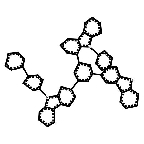 c1ccc(-c2ccc(-n3c4ccccc4c4ccc(-c5cc(-c6ccc7sc8ccccc8c7c6)cc(-c6cccc7c8ccccc8n(-c8ccccc8)c67)c5)cc43)cc2)cc1